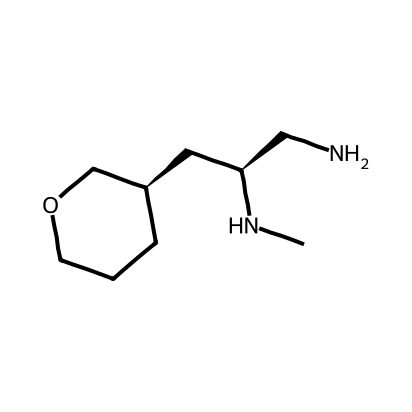 CN[C@H](CN)C[C@H]1CCCOC1